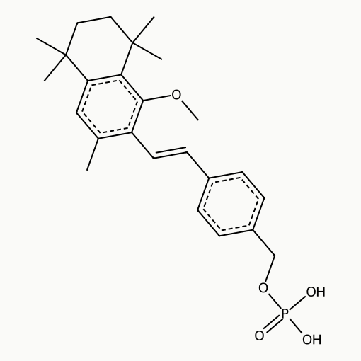 COc1c(C=Cc2ccc(COP(=O)(O)O)cc2)c(C)cc2c1C(C)(C)CCC2(C)C